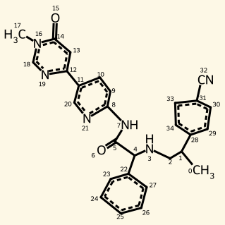 CC(CNC(C(=O)Nc1ccc(-c2cc(=O)n(C)cn2)cn1)c1ccccc1)c1ccc(C#N)cc1